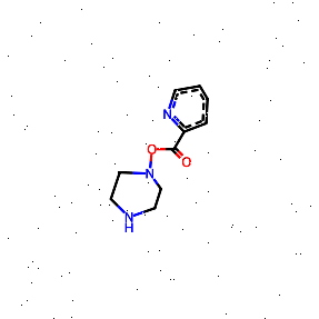 O=C(ON1CCNCC1)c1ccccn1